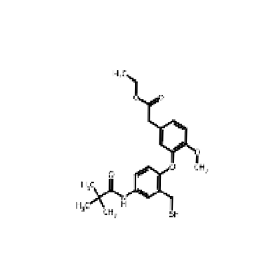 CCOC(=O)Cc1ccc(OC)c(Oc2ccc(NC(=O)C(C)(C)C)cc2CS)c1